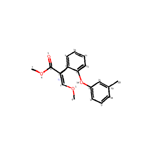 CO/C=C(/C(=O)OC)c1ccccc1Oc1cccc(C)c1